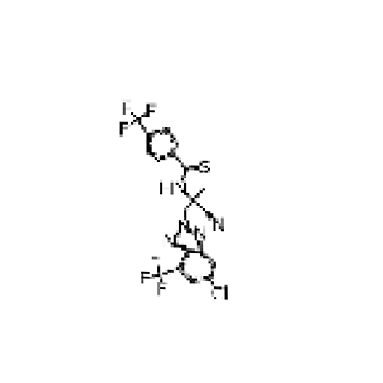 CC(C#N)(Cn1nc2cc(Cl)cc(C(F)(F)F)c2n1)NC(=S)c1ccc(C(F)(F)F)cc1